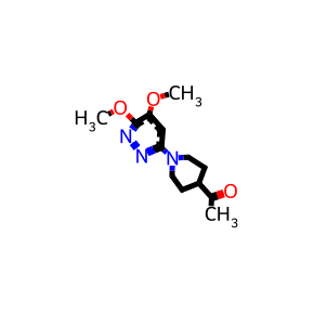 COc1cc(N2CCC(C(C)=O)CC2)nnc1OC